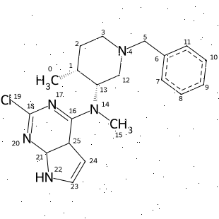 C[C@@H]1CCN(Cc2ccccc2)C[C@@H]1N(C)C1=NC(Cl)=NC2NC=CC12